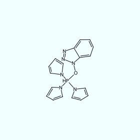 c1ccc2c(c1)nnn2O[PH](n1cccc1)(n1cccc1)n1cccc1